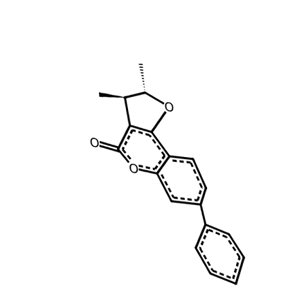 C[C@@H]1Oc2c(c(=O)oc3cc(-c4ccccc4)ccc23)[C@H]1C